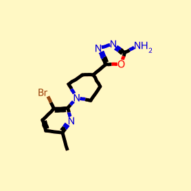 Cc1ccc(Br)c(N2CCC(c3nnc(N)o3)CC2)n1